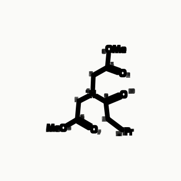 COC(=O)CN(CC(=O)OC)C(=O)CC(C)C